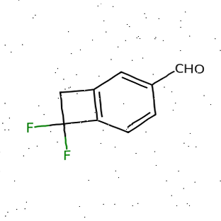 O=Cc1ccc2c(c1)CC2(F)F